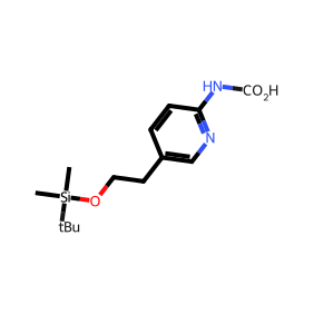 CC(C)(C)[Si](C)(C)OCCc1ccc(NC(=O)O)nc1